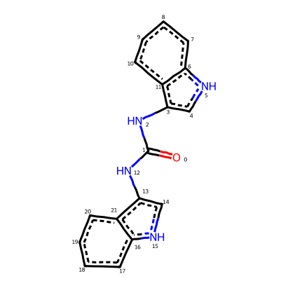 O=C(Nc1c[nH]c2ccccc12)Nc1c[nH]c2ccccc12